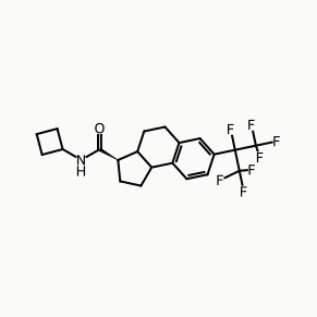 O=C(NC1CCC1)[C@@H]1CCC2c3ccc(C(F)(C(F)(F)F)C(F)(F)F)cc3CCC21